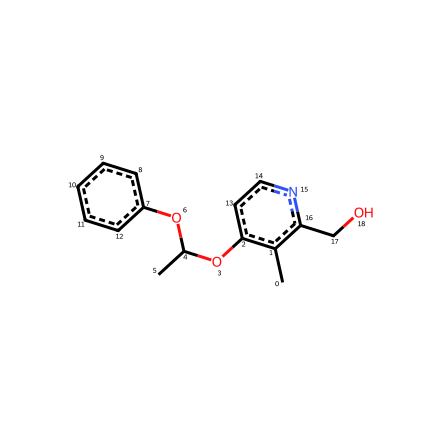 Cc1c(OC(C)Oc2ccccc2)ccnc1CO